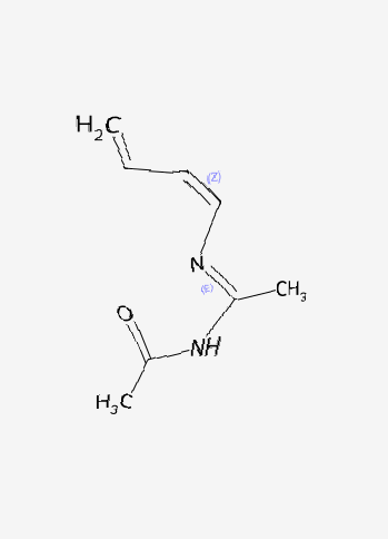 C=C/C=C\N=C(/C)NC(C)=O